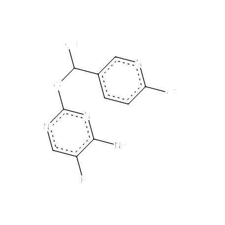 CC(Oc1ncc(F)c(N)n1)c1ccc(C(F)(F)F)nc1